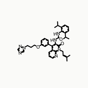 CC(C)=CCn1c(=O)c(NC(=O)Nc2c(C(C)C)cccc2C(C)C)c(-c2cccc(OCCCn3cncn3)c2)c2cccnc21